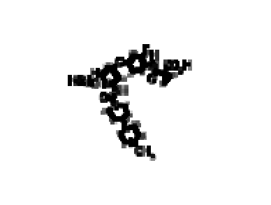 CN1CCN(C2CCN(C(=O)Nc3cc(Oc4ccc(NC(=O)C5(C(=O)O)CC5)c(F)c4)ccn3)CC2)CC1.Cl.Cl.Cl